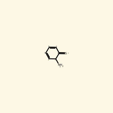 NC1C=CC=[C]C1=S